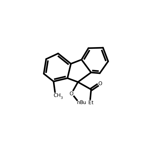 CCCCOC1(C(=O)CC)c2ccccc2-c2cccc(C)c21